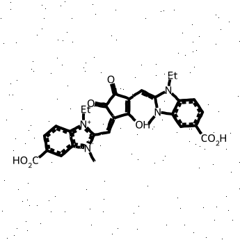 CCN1/C(=C/C2=C(O)C(=C/c3n(C)c4cc(C(=O)O)ccc4[n+]3CC)/C(=O)C2=O)N(C)c2cc(C(=O)O)ccc21